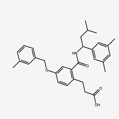 Cc1cccc(COc2ccc(CCC(=O)O)c(C(=O)NC(CC(C)C)c3cc(C)cc(C)c3)c2)c1